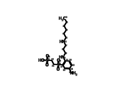 CCCCCCNCCCNc1ccc(N)cc1S(=O)(=O)CCS(=O)(=O)O